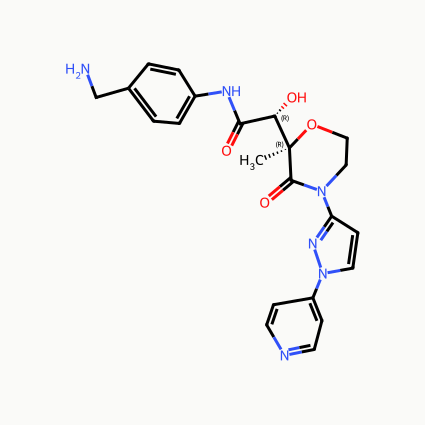 C[C@]1([C@@H](O)C(=O)Nc2ccc(CN)cc2)OCCN(c2ccn(-c3ccncc3)n2)C1=O